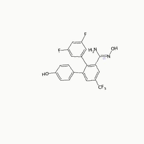 N/C(=N\O)c1cc(C(F)(F)F)cc(-c2ccc(O)cc2)c1-c1cc(F)cc(F)c1